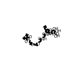 CC(C)(C)Cc1ccc(O[C@@H]2O[C@H](C(=O)O)[C@@H](O)[C@H](O)[C@H]2O)c(NC(=O)CCNC(=O)CCOC(C)(C)CCOC(C)(C)CCN2C(=O)C(C(C)(C)C)=C(C(C)(C)C)C2=O)c1